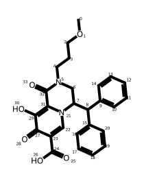 COCCCN1CC(C(c2ccccc2)c2ccccc2)n2cc(C(=O)O)c(=O)c(O)c2C1=O